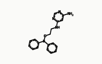 Nc1cc(NCCOB(c2ccccc2)c2ccccc2)ncn1